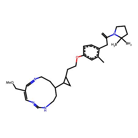 BC1(B)CCCN1C(=C)Cc1ccc(OCCC2CC2C2CC\N=C/C(COC)=C\N=C\NCC2)cc1C